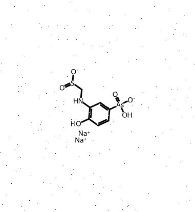 O=S([O-])CNc1cc([As](=O)([O-])O)ccc1O.[Na+].[Na+]